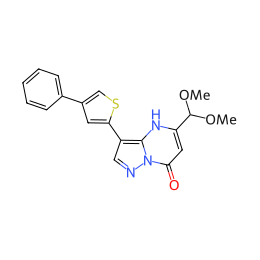 COC(OC)c1cc(=O)n2ncc(-c3cc(-c4ccccc4)cs3)c2[nH]1